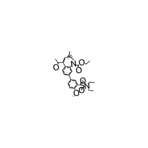 CCOC(=O)N1C[C@H](C)C=C(C(C)=O)c2ccc(-c3ccc(OC)c(S(=O)(=O)N(CC)CC)c3)cc21